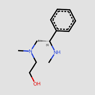 CN[C@H](CN(C)CCO)c1ccccc1